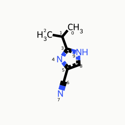 CC(C)c1nc(C#N)c[nH]1